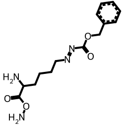 NOC(=O)C(N)CCCCN=NC(=O)OCc1ccccc1